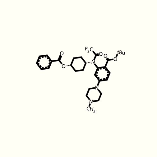 CN1CCN(c2ccc(C(=O)OC(C)(C)C)c(N(C(=O)C(F)(F)F)[C@H]3CC[C@@H](OC(=O)c4ccccc4)CC3)c2)CC1